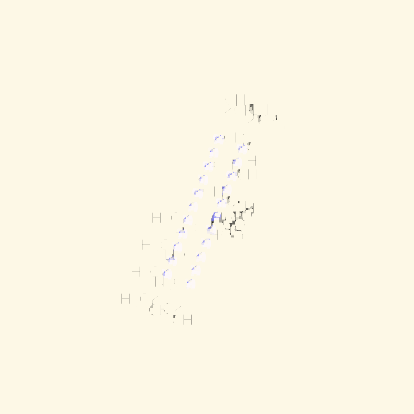 CC(C)=CCC/C(C)=C/C=C/C(C)=C/C=C/C(C)=C/C=C/C=C(C)/C=C/C=C(C)/C=C/C=C(\C)CCC=C(C)C.CC(C)=CCC/C(C)=C/C=C/C(C)=C/C=C/C(C)=C/C=C/C=C(C)/C=C/C=C(C)/C=C/C=C(\C)CCC=C(C)C.O=P(O)(O)OP(=O)(O)O